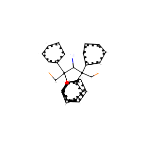 NC(C(CP)(c1ccccc1)c1ccccc1)C(CP)(c1ccccc1)c1ccccc1